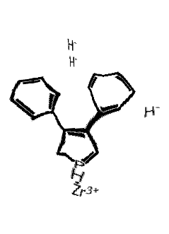 [H-].[H-].[H-].[Zr+3][PH]1=CC(c2ccccc2)=C(c2ccccc2)C1